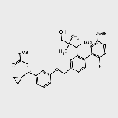 COC(=O)C[C@H](c1cccc(OCc2ccc(-c3cc(OC)ccc3F)c(C(OC)C(C)(C)CO)c2)c1)C1CC1